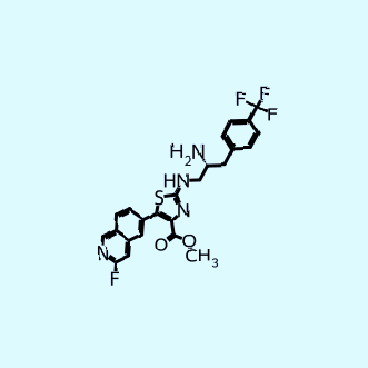 COC(=O)c1nc(NC[C@H](N)Cc2ccc(C(F)(F)F)cc2)sc1-c1ccc2cnc(F)cc2c1